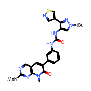 CNc1ncc2cc(-c3cccc(NC(=O)Nc4cn(C(C)(C)C)nc4-c4cnsc4)c3)c(=O)n(C)c2n1